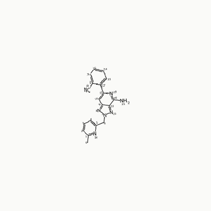 Cc1cccc(Cn2nc3cc(-c4ccccc4C#N)nc(N)c3n2)n1